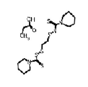 CCC(=O)O.S=C(SSCCSSC(=S)N1CCCCC1)N1CCCCC1